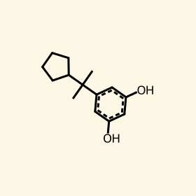 CC(C)(c1cc(O)cc(O)c1)C1CCCC1